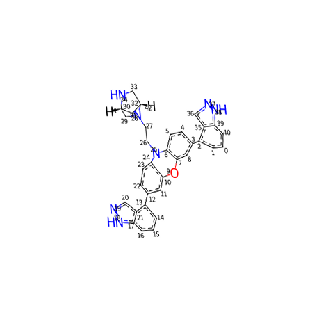 c1cc(-c2ccc3c(c2)Oc2cc(-c4cccc5[nH]ncc45)ccc2N3CCN2C[C@H]3C[C@@H]2CN3)c2cn[nH]c2c1